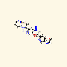 c1cnc2c(c1)NC(c1cc3c(cn1)OC(c1cc4c(cn1)NCCO4)CN3)CO2